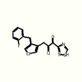 O=C(Cc1cocc1Cc1ccccc1F)C(=O)c1nc[nH]n1